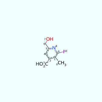 Cc1c(C(=O)O)cc(CO)nc1I